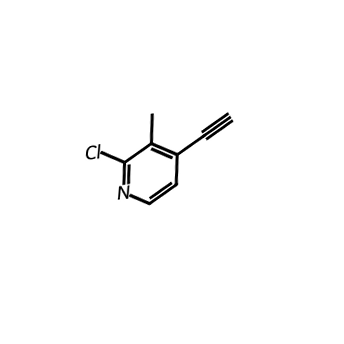 C#Cc1ccnc(Cl)c1C